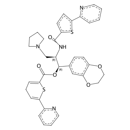 O=C(O[C@H](c1ccc2c(c1)OCCO2)[C@@H](CN1CCCC1)NC(=O)c1ccc(-c2ccccn2)s1)C1=CCC=C(c2ccccn2)S1